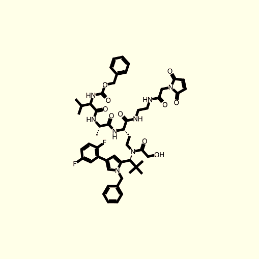 CC(C)C(NC(=O)OCc1ccccc1)C(=O)N[C@@H](C)C(=O)N[C@@H](CCN(C(=O)CO)[C@@H](c1cc(-c2cc(F)ccc2F)cn1Cc1ccccc1)C(C)(C)C)C(=O)NCCNC(=O)CN1C(=O)C=CC1=O